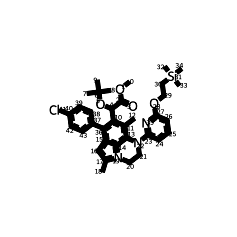 COC(=O)C(OC(C)(C)C)c1c(C)c2c3c(cc(C)n3CCN2c2cccc(OCC[Si](C)(C)C)n2)c1-c1ccc(Cl)cc1